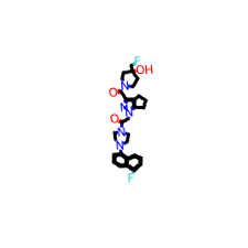 O=C(Cn1nc(C(=O)N2CCC(O)(CF)CC2)c2c1CCC2)N1CCN(c2cccc3c(F)cccc23)CC1